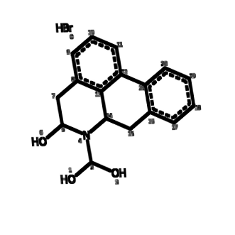 Br.OC(O)N1C(O)Cc2cccc3c2C1Cc1ccccc1-3